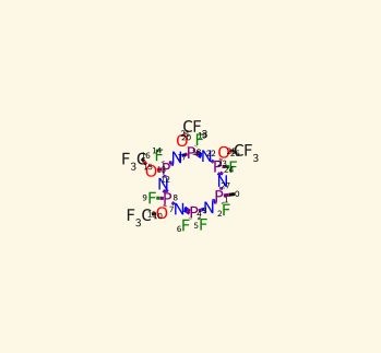 CP1(F)=NP(F)(F)=NP(F)(OC(F)(F)F)=NP(F)(OC(F)(F)F)=NP(F)(OC(F)(F)F)=NP(F)(OC(F)(F)F)=N1